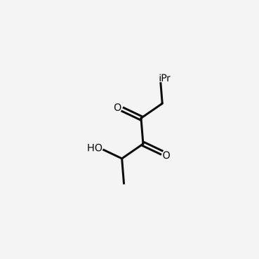 CC(C)CC(=O)C(=O)C(C)O